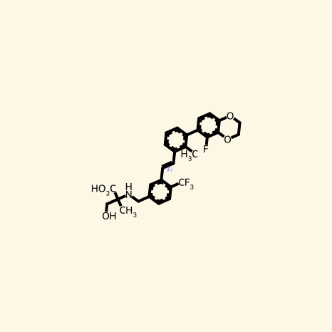 Cc1c(/C=C/c2cc(CNC(C)(CO)C(=O)O)ccc2C(F)(F)F)cccc1-c1ccc2c(c1F)OCCO2